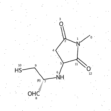 CN1C(=O)CC(N[C@H](C=O)CS)C1=O